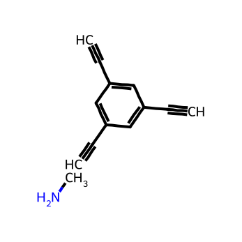 C#Cc1cc(C#C)cc(C#C)c1.CN